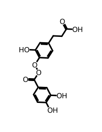 O=C(O)CCc1ccc(OOC(=O)c2ccc(O)c(O)c2)c(O)c1